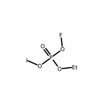 CCOP(=O)(OF)OI